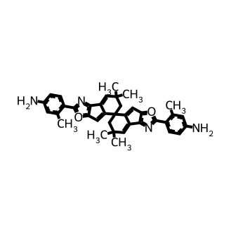 Cc1cc(N)ccc1-c1nc2c(o1)C=C1C2=CC(C)(C)CC12CC(C)(C)C=C1C2=Cc2oc(-c3ccc(N)cc3C)nc21